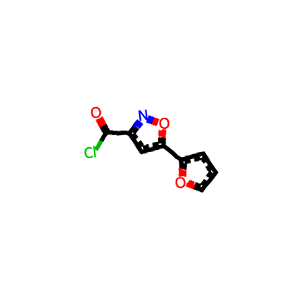 O=C(Cl)c1cc(-c2ccco2)on1